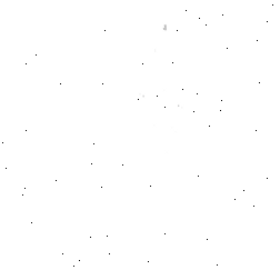 CCCCOc1ccc(S(=O)(=O)NC(N)CC(=O)NO)cc1